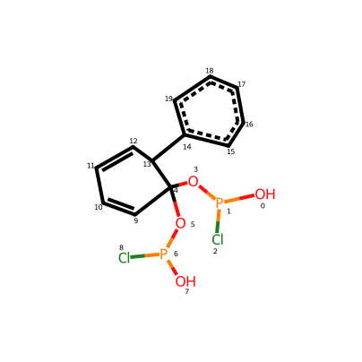 OP(Cl)OC1(OP(O)Cl)C=CC=CC1c1ccccc1